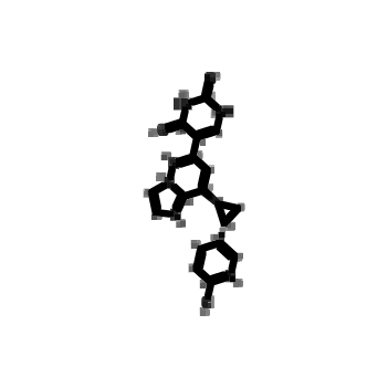 O=c1[nH]cc(-c2cc([C@H]3C[C@@H]3c3ccc(Cl)nc3)c3nccn3n2)c(=O)[nH]1